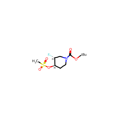 CC(C)(C)OC(=O)N1CC[C@@H](OS(C)(=O)=O)[C@H](F)C1